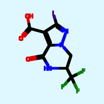 O=C(O)c1c(I)nn2c1C(=O)NC(C(F)(F)F)C2